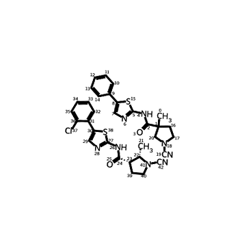 CC1(C(=O)Nc2ncc(-c3ccccc3)s2)CCN(C#N)C1.C[C@H]1[C@@H](C(=O)Nc2ncc(-c3ccccc3Cl)s2)CCN1C#N